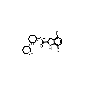 Cc1ccc(F)c2c1NC(C(=O)N[C@@H]1CCC[C@@H](C3CCCNC3)C1)C2